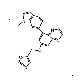 Cn1ccc2ccc(-c3cc(NCc4cnco4)cc4nccnc34)cc21